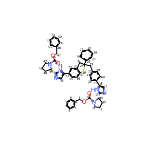 O=C(OCc1ccccc1)N1CCC[C@H]1c1ncc(-c2ccc(CC3(c4ccccc4)Cc4cc(-c5cnc([C@@H]6CCCN6C(=O)OCc6ccccc6)[nH]5)ccc4S3)cc2)[nH]1